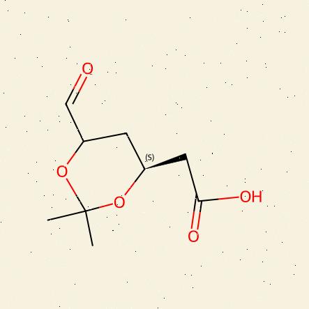 CC1(C)OC(C=O)C[C@@H](CC(=O)O)O1